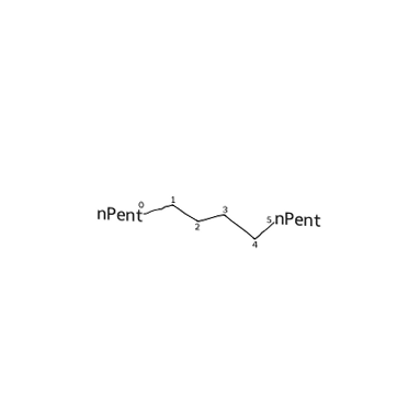 [CH][CH]CCCCCCCCCCC[CH]